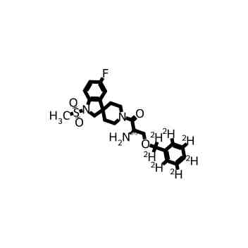 [2H]c1c([2H])c([2H])c(C([2H])([2H])OC[C@@H](N)C(=O)N2CCC3(CC2)CN(S(C)(=O)=O)c2ccc(F)cc23)c([2H])c1[2H]